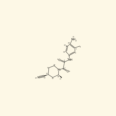 Cc1cc(NC(=O)C(=O)N2CC[C@H](C#N)C[C@@H]2C)cnc1N